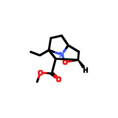 CCC12CCC3C[C@H](ON31)C2C(=O)OC